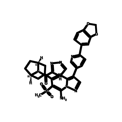 CS(=O)(=O)c1c(C2C[C@H]3CC[C@@H](C2)N3C(=O)c2nnc[nH]2)nc2c(-c3ccc(-c4ccc5c(c4)OCO5)nc3)cnn2c1N